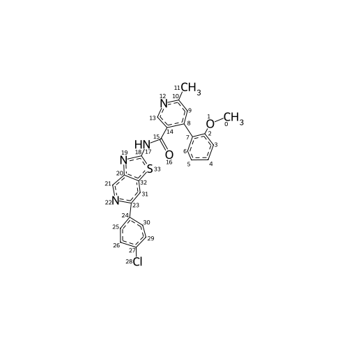 COc1ccccc1-c1cc(C)ncc1C(=O)Nc1nc2cnc(-c3ccc(Cl)cc3)cc2s1